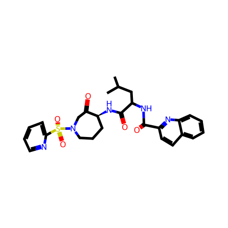 CC(C)CC(NC(=O)c1ccc2ccccc2n1)C(=O)N[C@H]1CCCN(S(=O)(=O)c2ccccn2)CC1=O